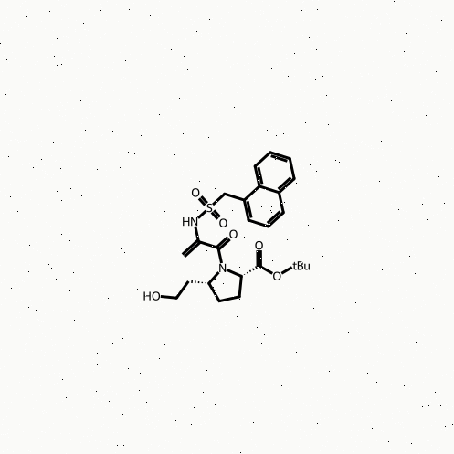 C=C(NS(=O)(=O)Cc1cccc2ccccc12)C(=O)N1[C@@H](CCO)CC[C@H]1C(=O)OC(C)(C)C